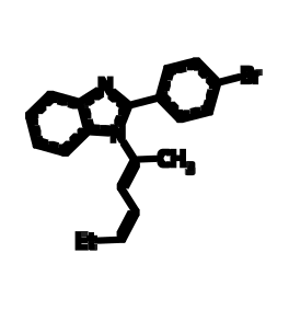 CC/C=C\C=C(/C)n1c(-c2ccc(Br)cc2)nc2ccccc21